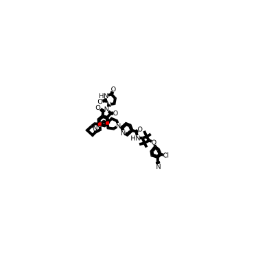 CC1(C)C(NC(=O)c2ccc(N3CCC(CN4CC5CCC(C4)N5c4ccc5c(c4)C(=O)N(N4CCC(=O)NC4=O)C5=O)CC3)nc2)C(C)(C)C1Oc1ccc(C#N)c(Cl)c1